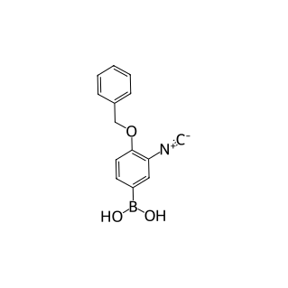 [C-]#[N+]c1cc(B(O)O)ccc1OCc1ccccc1